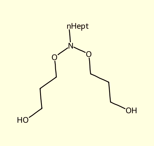 CCCCCCCN(OCCCO)OCCCO